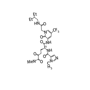 CCC(CC)CNC(=O)Cn1cc(C(F)(F)F)cc(NC(=O)[C@H](CCC(=O)C(=O)NC)NC(=O)c2cncn2C)c1=O